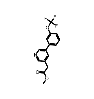 COC(=O)Cc1cncc(-c2cccc(OC(F)(F)F)c2)c1